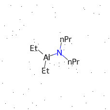 CCC[N](CCC)[Al]([CH2]C)[CH2]C